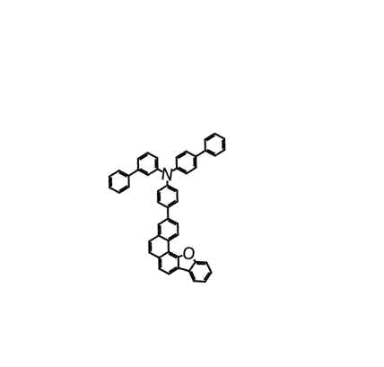 c1ccc(-c2ccc(N(c3ccc(-c4ccc5c(ccc6ccc7c8ccccc8oc7c65)c4)cc3)c3cccc(-c4ccccc4)c3)cc2)cc1